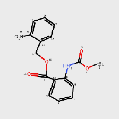 CC(C)(C)OC(=O)Nc1ccccc1C(=O)OCc1ccccc1[N+](=O)[O-]